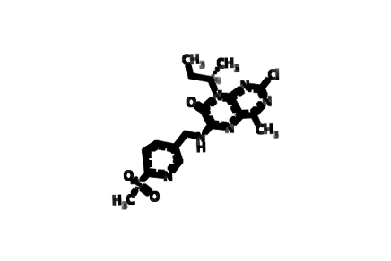 CC[C@H](C)n1c(=O)c(NCc2ccc(S(C)(=O)=O)nc2)nc2c(C)nc(Cl)nc21